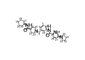 O=C(Nc1cccc(CN2CCC(C(=O)NC3CCCCC3)CC2)c1)c1ccc(N2CCCC2)cn1